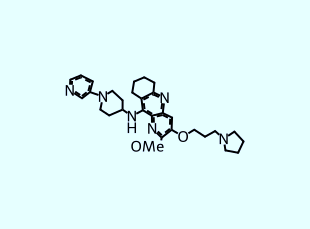 COc1nc2c(NC3CCN(c4cccnc4)CC3)c3c(nc2cc1OCCCN1CCCC1)CCCC3